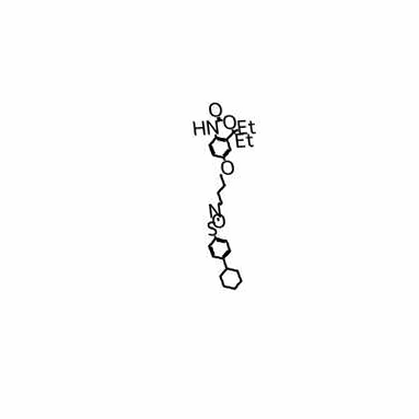 CCC1(CC)OC(=O)Nc2ccc(OCCCC=NOSc3ccc(C4CCCCC4)cc3)cc21